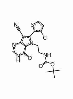 CC(C)(C)OC(=O)NCCn1c(-c2sccc2Cl)c(C#N)c2nc[nH]c(=O)c21